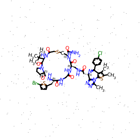 Cc1sc2c(c1C)C(c1ccc(Cl)cc1)=N[C@@H](CC(=O)NC[C@H]1NC(=O)CNC(=O)[C@@H](Cc3ccc(Br)s3)NC(=O)[C@@H]3CCCN3C(=O)C(C(C)(C)C)NC(=O)CSC[C@H](C(N)=O)NC1=O)c1nnc(C)n1-2